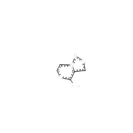 Oc1nccn2nncc12